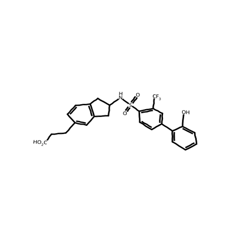 O=C(O)CCc1ccc2c(c1)CC(NS(=O)(=O)c1ccc(-c3ccccc3O)cc1C(F)(F)F)C2